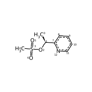 C[C@H](OS(C)(=O)=O)c1ccccn1